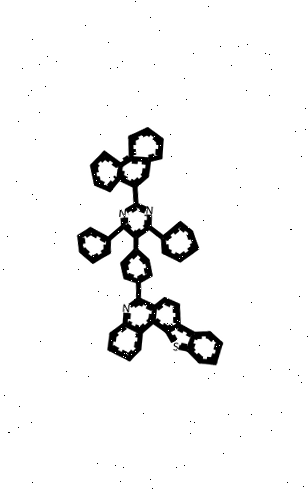 c1ccc(-c2nc(-c3cc4ccccc4c4ccccc34)nc(-c3ccccc3)c2-c2ccc(-c3nc4ccccc4c4c3ccc3c5ccccc5sc34)cc2)cc1